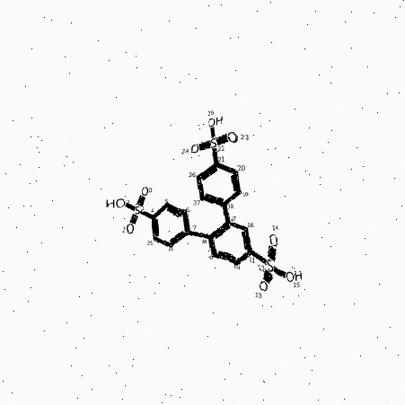 O=S(=O)(O)c1ccc(-c2ccc(S(=O)(=O)O)cc2-c2ccc(S(=O)(=O)O)cc2)cc1